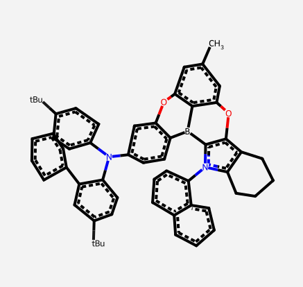 Cc1cc2c3c(c1)Oc1c4c(n(-c5cccc6ccccc56)c1B3c1ccc(N(c3ccc(C(C)(C)C)cc3)c3ccc(C(C)(C)C)cc3-c3ccccc3)cc1O2)CCCC4